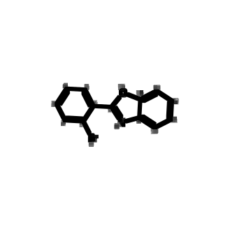 Brc1ccccc1-c1nc2ccccc2o1